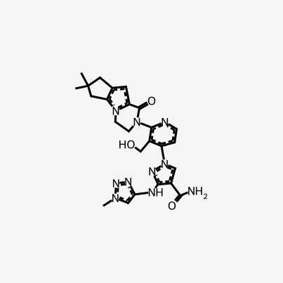 Cn1cc(Nc2nn(-c3ccnc(N4CCn5c(cc6c5CC(C)(C)C6)C4=O)c3CO)cc2C(N)=O)nn1